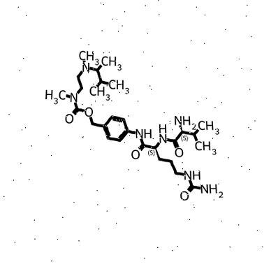 CC(C)C(C)N(C)CCN(C)C(=O)OCc1ccc(NC(=O)[C@H](CCCNC(N)=O)NC(=O)[C@@H](N)C(C)C)cc1